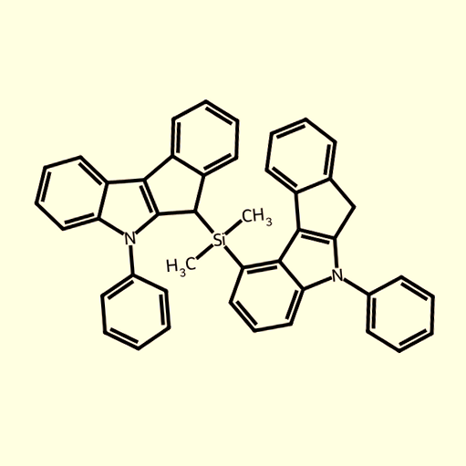 C[Si](C)(c1cccc2c1c1c(n2-c2ccccc2)Cc2ccccc2-1)C1c2ccccc2-c2c1n(-c1ccccc1)c1ccccc21